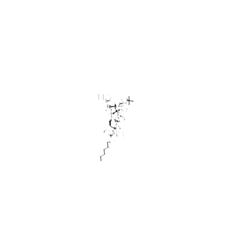 CCCCCCOC(=O)Nc1ccn([C@@H]2O[C@H](CO)[C@@H](OC(=O)OC(C)(C)C)C2(F)F)c(=O)n1